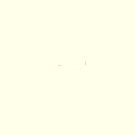 Cl/[C]=C\C=[C]/Cl